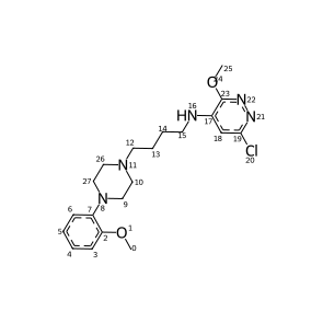 COc1ccccc1N1CCN(CCCCNc2cc(Cl)nnc2OC)CC1